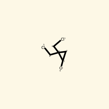 [O]C1CC1(CCl)CCl